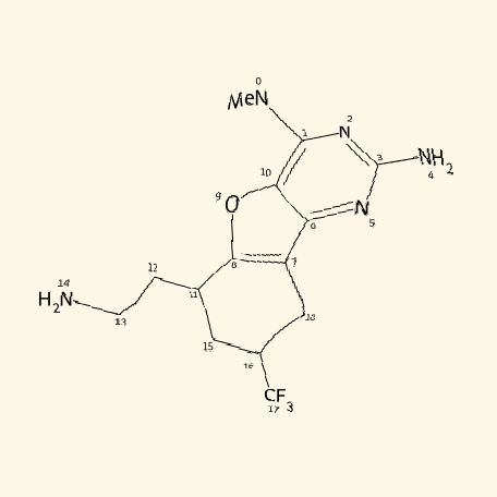 CNc1nc(N)nc2c3c(oc12)C(CCN)CC(C(F)(F)F)C3